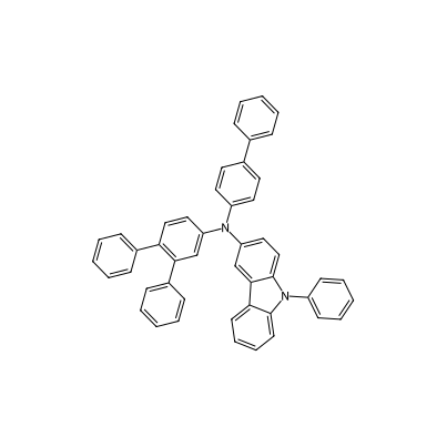 c1ccc(-c2ccc(N(c3ccc(-c4ccccc4)c(-c4ccccc4)c3)c3ccc4c(c3)c3ccccc3n4-c3ccccc3)cc2)cc1